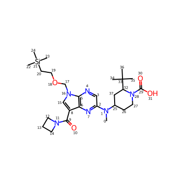 CN(c1cnc2c(n1)c(C(=O)N1CCC1)cn2COCC[Si](C)(C)C)C1CCN(C(=O)O)C(C(C)(C)C)C1